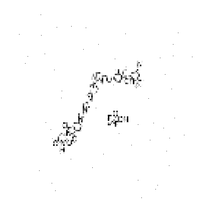 CC(C)(c1ccc(OCc2ccnc(N3CCC4(CC3)CN(C3CN(C5CN(c6ccc7c(c6)C(=O)N(C6CCC(=O)NC6=O)C7=O)C5)C3)C4)n2)cc1)c1cc(Cl)cc(C#N)c1.O=C(O)C(F)(F)F